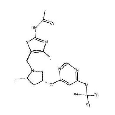 [2H]C([2H])([2H])Oc1cc(O[C@@H]2C[C@H](C)N(Cc3sc(NC(C)=O)nc3F)C2)ncn1